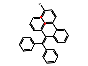 Brc1ccc(-c2ccccc2C(=C(c2ccccc2)c2ccccc2)c2ccccc2)cc1